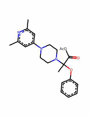 CC(=O)OC(=O)C(C)(Oc1ccccc1)N1CCN(c2cc(C)nc(C)c2)CC1